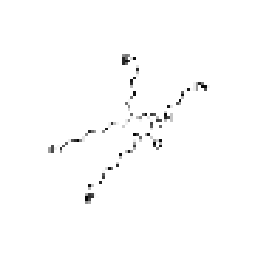 CC(C)CCCCCCC(CCCCC(C)C)C(=O)O.CC(C)CCCCCCOC(=O)CCCCCC(C)C